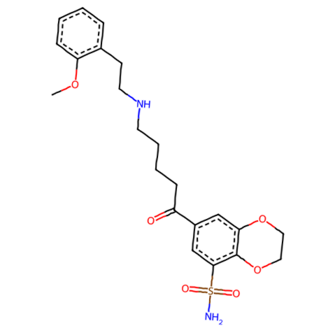 COc1ccccc1CCNCCCCC(=O)c1cc2c(c(S(N)(=O)=O)c1)OCCO2